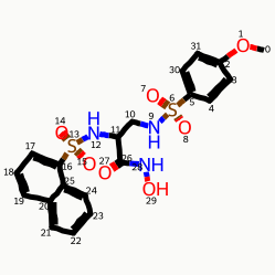 COc1ccc(S(=O)(=O)NCC(NS(=O)(=O)c2cccc3ccccc23)C(=O)NO)cc1